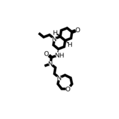 CCCN1C[C@@H](NC(=O)N(C)CCN2CCCOCC2)C[C@@H]2CC(=O)CC[C@H]21